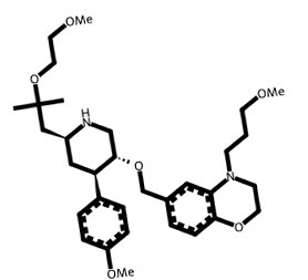 COCCCN1CCOc2ccc(CO[C@H]3CN[C@H](CC(C)(C)OCCOC)C[C@@H]3c3ccc(OC)cc3)cc21